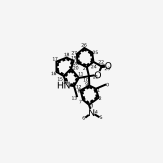 Cc1cc(N(C)C)ccc1C1(c2c(C)[nH]c3ccccc23)OC(=O)c2ccccc21